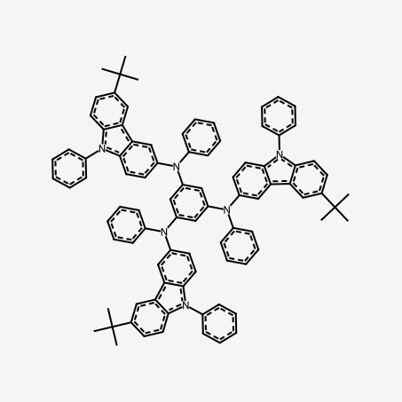 CC(C)(C)c1ccc2c(c1)c1cc(N(c3ccccc3)c3cc(N(c4ccccc4)c4ccc5c(c4)c4cc(C(C)(C)C)ccc4n5-c4ccccc4)cc(N(c4ccccc4)c4ccc5c(c4)c4cc(C(C)(C)C)ccc4n5-c4ccccc4)c3)ccc1n2-c1ccccc1